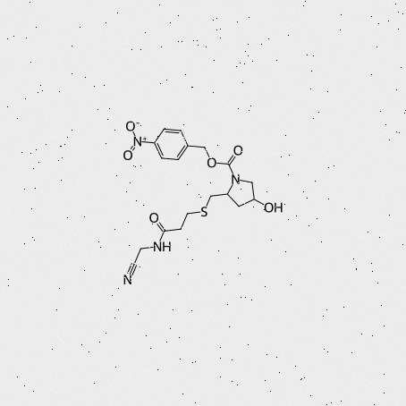 N#CCNC(=O)CCSCC1CC(O)CN1C(=O)OCc1ccc([N+](=O)[O-])cc1